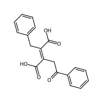 O=C(O)C(CC(=O)c1ccccc1)=C(Cc1ccccc1)C(=O)O